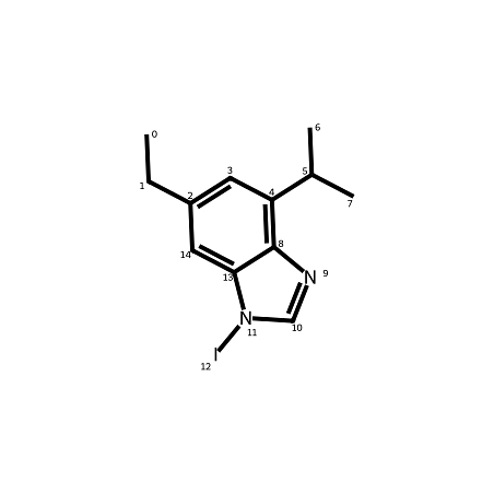 CCc1cc(C(C)C)c2ncn(I)c2c1